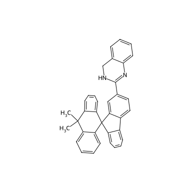 CC1(C)c2ccccc2C2(c3ccccc3-c3ccc(C4=Nc5ccccc5CN4)cc32)c2ccccc21